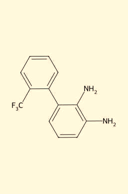 Nc1cccc(-c2ccccc2C(F)(F)F)c1N